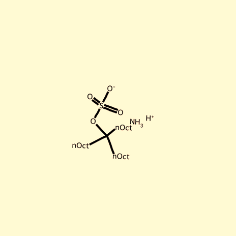 CCCCCCCCC(CCCCCCCC)(CCCCCCCC)OS(=O)(=O)[O-].N.[H+]